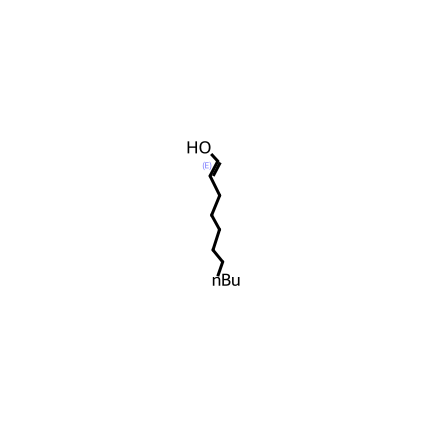 CCCCCCCCC/C=C/O